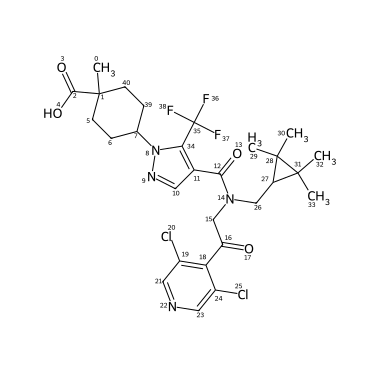 CC1(C(=O)O)CCC(n2ncc(C(=O)N(CC(=O)c3c(Cl)cncc3Cl)CC3C(C)(C)C3(C)C)c2C(F)(F)F)CC1